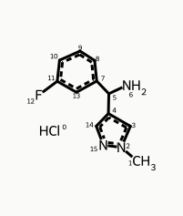 Cl.Cn1cc(C(N)c2cccc(F)c2)cn1